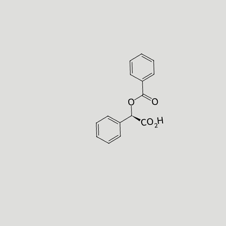 O=C(O[C@@H](C(=O)O)c1ccccc1)c1ccccc1